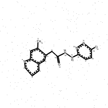 Cc1cc2ncccc2cc1CC(=O)NNc1ccc(Cl)nn1